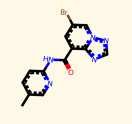 Cc1ccc(NC(=O)c2cc(Br)cn3ncnc23)nc1